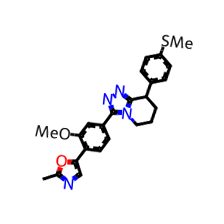 COc1cc(-c2nnc3n2CCCC3c2ccc(SC)cc2)ccc1-c1cnc(C)o1